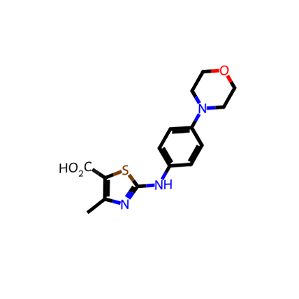 Cc1nc(Nc2ccc(N3CCOCC3)cc2)sc1C(=O)O